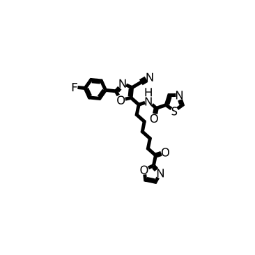 N#Cc1nc(-c2ccc(F)cc2)oc1C(CCCCCC(=O)c1ncco1)NC(=O)c1cncs1